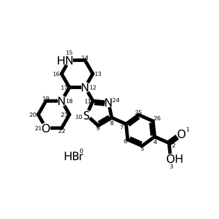 Br.O=C(O)c1ccc(-c2csc(N3CCNCC3N3CCOCC3)n2)cc1